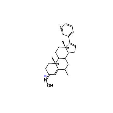 CC1CC2C(CC[C@]3(C)C(c4cccnc4)=CCC23)[C@@]2(C)CC/C(=N/O)C=C12